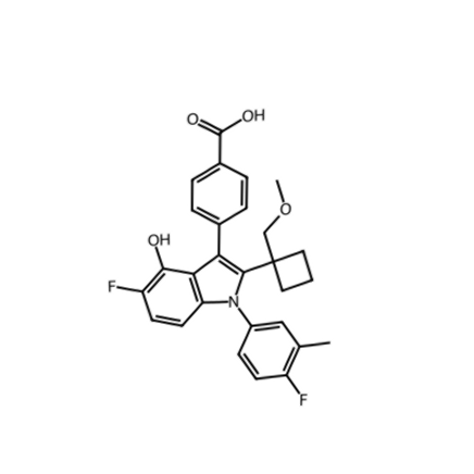 COCC1(c2c(-c3ccc(C(=O)O)cc3)c3c(O)c(F)ccc3n2-c2ccc(F)c(C)c2)CCC1